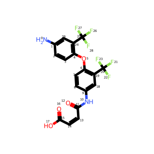 Nc1ccc(Oc2ccc(NC(=O)/C=C\C(=O)O)cc2C(F)(F)F)c(C(F)(F)F)c1